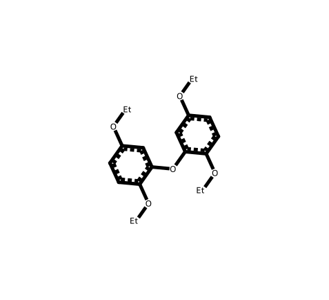 CCOc1ccc(OCC)c(Oc2cc(OCC)ccc2OCC)c1